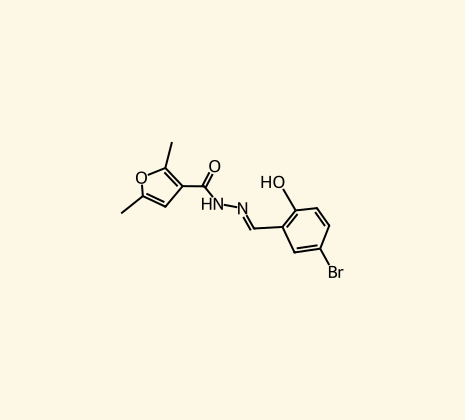 Cc1cc(C(=O)N/N=C/c2cc(Br)ccc2O)c(C)o1